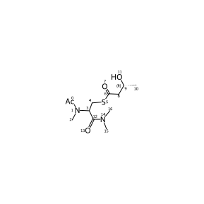 CC(=O)N(C)C(CSC(=O)C[C@@H](C)O)C(=O)N(C)C